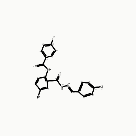 O=C(Nc1ccc(Br)cc1C(=O)NN=Cc1ccc(Cl)cc1)c1ccc(F)cc1